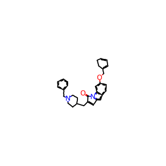 O=C1C(CC2CCN(Cc3ccccc3)CC2)=Cc2cc3ccc(OCC4=CC=CCC4)cc3n21